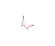 C=CCOCC(C)OCC(C)OCC=C